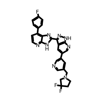 Fc1ccc(-c2ccnc3[nH]c(-c4n[nH]c5ncc(-c6cncc(CN7CCC(F)(F)C7)c6)cc45)nc23)cc1